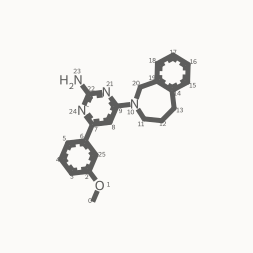 COc1cccc(-c2cc(N3CCCc4ccccc4C3)nc(N)n2)c1